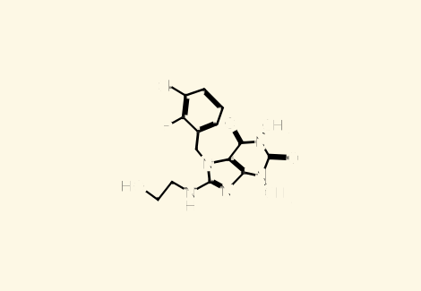 Cn1c(=O)c2c(nc(NCCO)n2Cc2cccc(Cl)c2F)n(C)c1=O